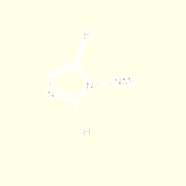 CNn1c(Br)cnc1S